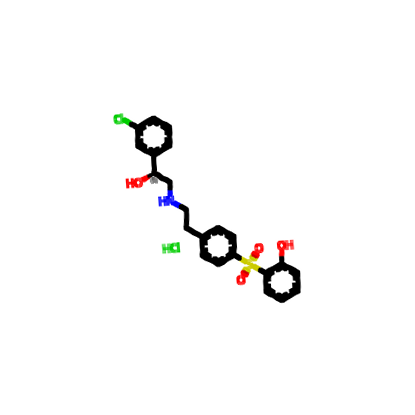 Cl.O=S(=O)(c1ccc(CCNC[C@@H](O)c2cccc(Cl)c2)cc1)c1ccccc1O